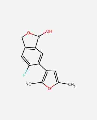 Cc1cc(-c2cc3c(cc2F)COB3O)c(C#N)o1